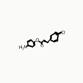 Nc1ccc(OC(=O)C=Cc2ccc(Cl)cc2)cc1